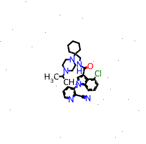 CC(C)N1CCN(C2(CNC(=O)c3cn(-c4cccnc4C#N)c4cccc(Cl)c34)CCCCC2)CC1